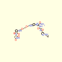 NC(=O)c1nn(-c2ccc(CNCCOCCCOCCNc3cccc4c3C(=O)N(C3CCC(=O)NC3=O)C4=O)cc2)cc1NC(=O)c1coc(-c2ccnc(NCC3CC3)c2)n1